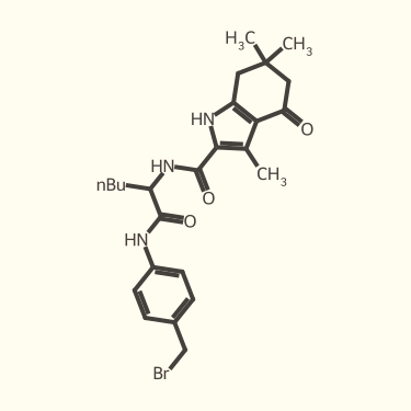 CCCCC(NC(=O)c1[nH]c2c(c1C)C(=O)CC(C)(C)C2)C(=O)Nc1ccc(CBr)cc1